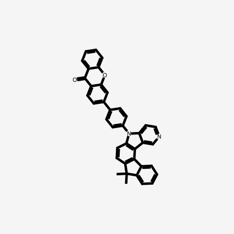 CC1(C)c2ccccc2-c2c1ccc1c2c2cnccc2n1-c1ccc(-c2ccc3c(=O)c4ccccc4oc3c2)cc1